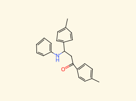 Cc1ccc(C(=O)CC(Nc2ccccc2)c2ccc(C)cc2)cc1